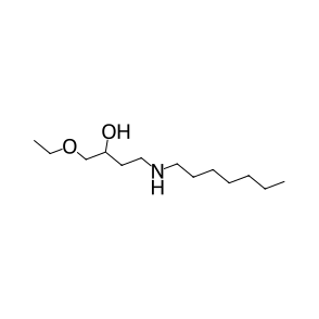 CCCCCCCNCCC(O)COCC